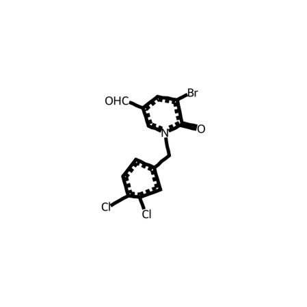 O=Cc1cc(Br)c(=O)n(Cc2ccc(Cl)c(Cl)c2)c1